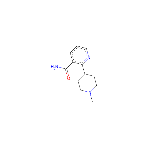 CN1CCC(c2ncccc2C(N)=O)CC1